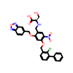 O=C(O)[C@@H](CO)NCc1cc([N+](=O)[O-])c(OCc2cccc(-c3ccccc3)c2Br)cc1OCc1ccc2nonc2c1